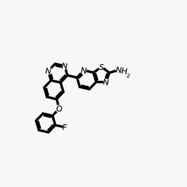 Nc1nc2ccc(-c3ncnc4ccc(Oc5ccccc5F)cc34)nc2s1